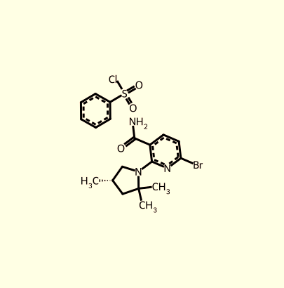 C[C@@H]1CN(c2nc(Br)ccc2C(N)=O)C(C)(C)C1.O=S(=O)(Cl)c1ccccc1